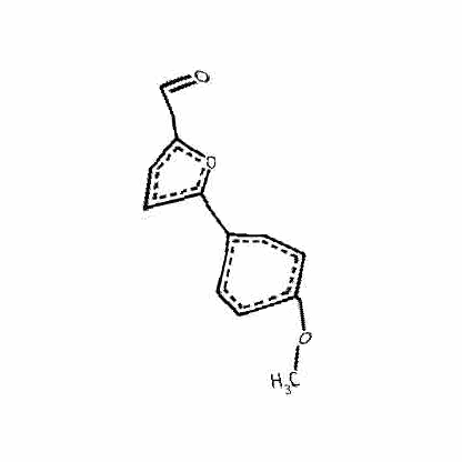 COc1ccc(-c2ccc(C=O)o2)cc1